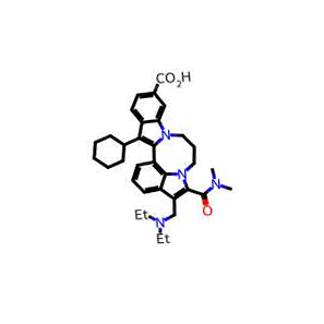 CCN(CC)Cc1c(C(=O)N(C)C)n2c3c(cccc13)-c1c(C3CCCCC3)c3ccc(C(=O)O)cc3n1CCC2